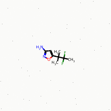 CC(F)(F)C(C)(C)c1cc(N)no1